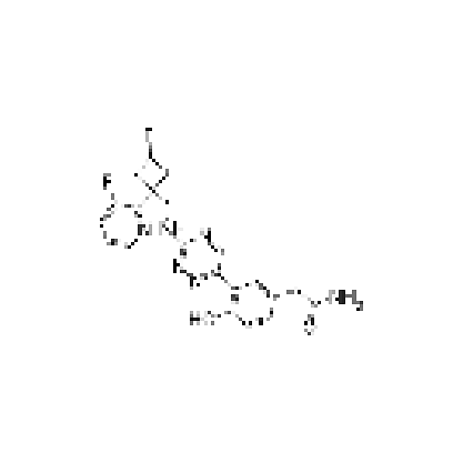 NC(=O)Cc1ccc(O)c(-c2cnc(NCC3(c4ncccc4F)CC(F)C3)nn2)c1